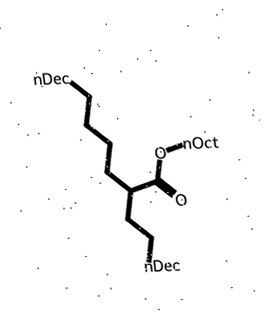 CCCCCCCCCCCCCCC(CCCCCCCCCCCC)C(=O)OCCCCCCCC